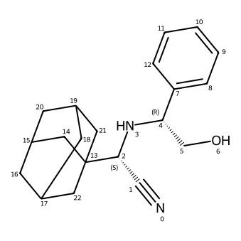 N#C[C@@H](N[C@@H](CO)c1ccccc1)C12CC3CC(CC(C3)C1)C2